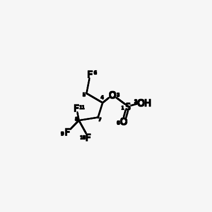 O=S(O)OC(CF)CC(F)(F)F